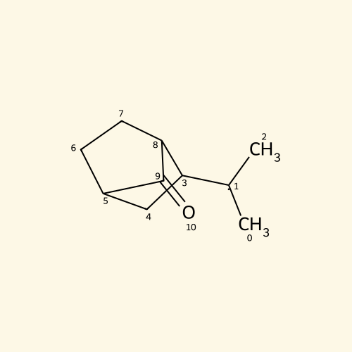 C[C](C)C1CC2CCC1C2=O